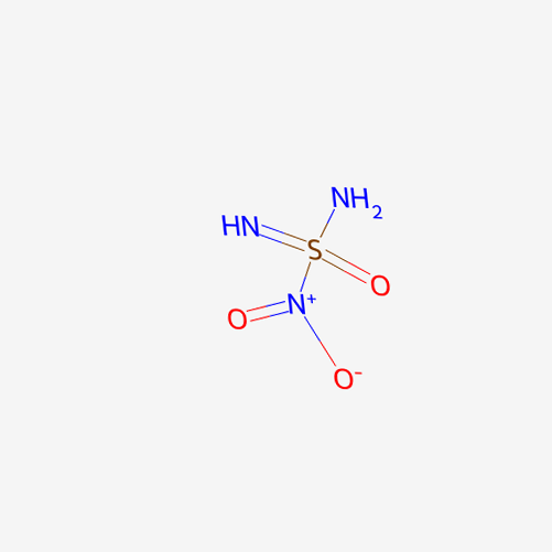 N=S(N)(=O)[N+](=O)[O-]